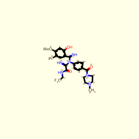 COc1cc(O)c(C(=N)N(C(=N)C(=O)NCC(F)(F)F)c2ccc(C(=O)N3CCN(C)CC3)cc2)cc1C(C)C